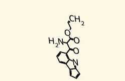 C=CCOC(=O)C(N)C(=O)c1cccc2c1N=C1C=CC=C12